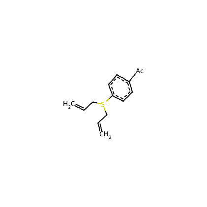 C=CC[S+](CC=C)c1ccc(C(C)=O)cc1